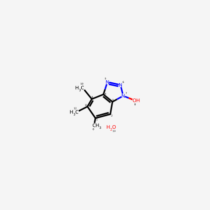 Cc1cc2c(nnn2O)c(C)c1C.O